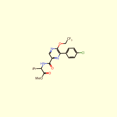 COC(=O)C(NC(=O)c1cnc(OCC(F)(F)F)c(-c2ccc(Cl)cc2)n1)C(C)C